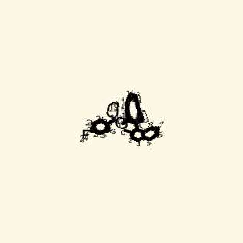 Cc1ccc2ccccc2c1-c1ccccc1OC(=O)c1ccc(F)cc1